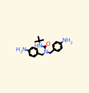 CC(C)(C)NC(=O)N(Cc1ccc(N)cc1)Cc1ccc(N)cc1